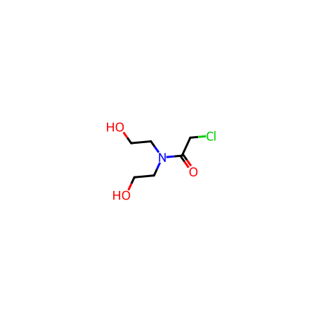 O=C(CCl)N(CCO)CCO